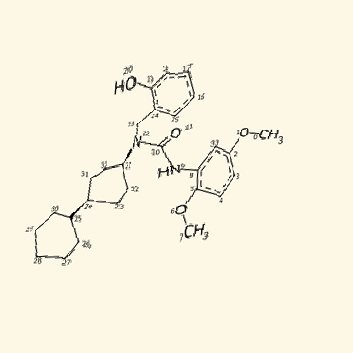 COc1ccc(OC)c(NC(=O)N(Cc2ccccc2O)[C@H]2CC[C@@H](C3CCCCC3)CC2)c1